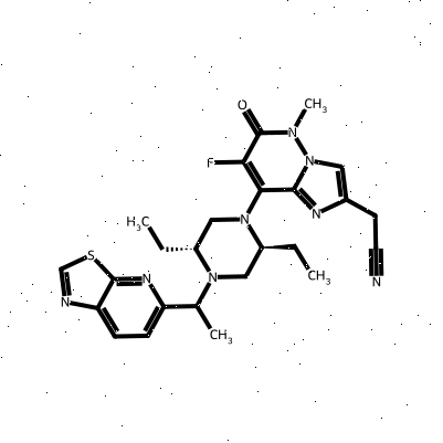 CC[C@H]1CN(C(C)c2ccc3ncsc3n2)[C@H](CC)CN1c1c(F)c(=O)n(C)n2cc(CC#N)nc12